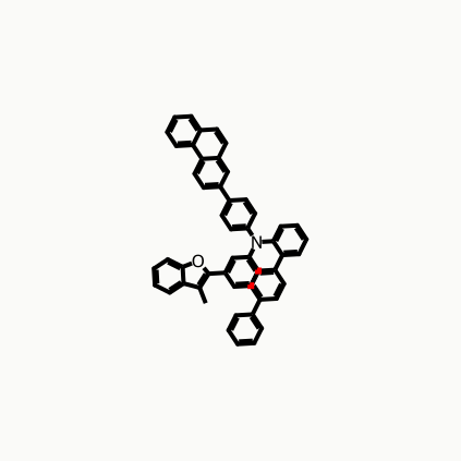 Cc1c(-c2cccc(N(c3ccc(-c4ccc5c(ccc6ccccc65)c4)cc3)c3ccccc3-c3ccc(-c4ccccc4)cc3)c2)oc2ccccc12